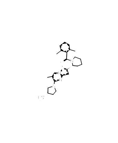 Cc1cn2nc([C@@H]3CCCCN3C(=O)c3c(C)cccc3C)cc2nc1N1CC[C@H](N)C1